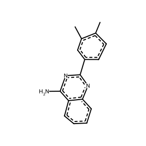 Cc1ccc(-c2nc(N)c3ccccc3n2)cc1C